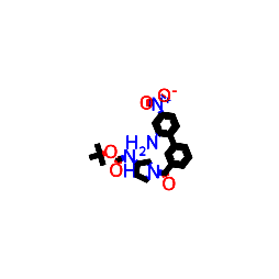 CC(C)(C)OC(=O)NC1CCN(C(=O)c2cccc(-c3ccc([N+](=O)[O-])cc3N)c2)C1